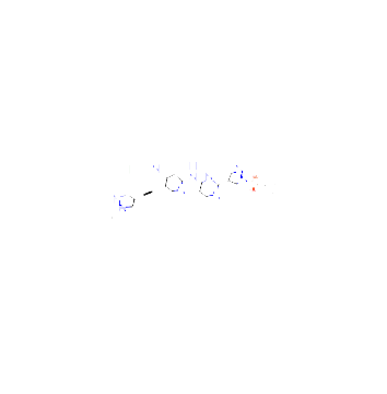 Cn1cc(C#Cc2cnc(Nc3ccnc(-c4cnn(S(=O)(=O)C5CC5)c4)n3)cc2N2CCCC(F)C2)cn1